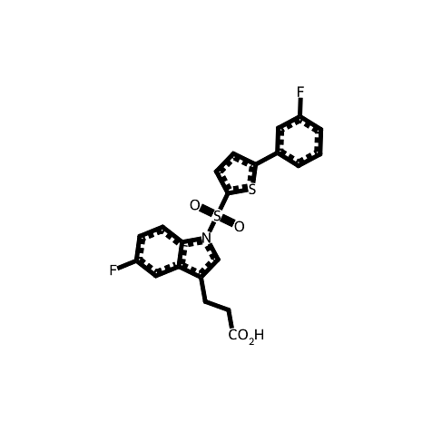 O=C(O)CCc1cn(S(=O)(=O)c2ccc(-c3cccc(F)c3)s2)c2ccc(F)cc12